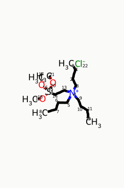 CCCC[N+](CCCC)(CCCC)CC[Si](OC)(OC)OC.[Cl-]